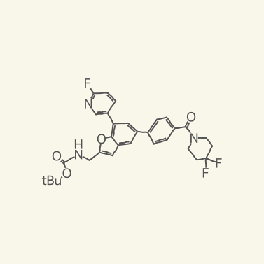 CC(C)(C)OC(=O)NCc1cc2cc(-c3ccc(C(=O)N4CCC(F)(F)CC4)cc3)cc(-c3ccc(F)nc3)c2o1